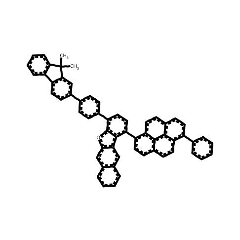 CC1(C)c2ccccc2-c2ccc(-c3ccc(-c4ccc(-c5ccc6ccc7c(-c8ccccc8)ccc8ccc5c6c87)c5c4oc4cc6ccccc6cc45)cc3)cc21